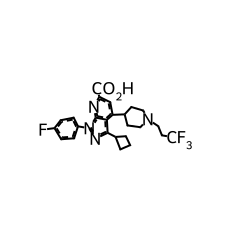 O=C(O)c1cc(C2CCN(CCC(F)(F)F)CC2)c2c(C3CCC3)nn(-c3ccc(F)cc3)c2n1